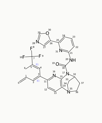 C=C/C=C(\C=C(/C)C(F)(F)F)c1ccc2c(n1)N(C(=O)Nc1cccc(-c3cnco3)n1)C1CCN2CC1